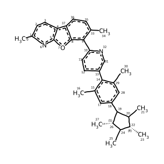 Cc1ccc2c(n1)oc1c(-c3ccc(-c4c(C)cc(C5C(C)[C@H](C)C(C)[C@@H]5C)cc4C)cn3)c(C)ccc12